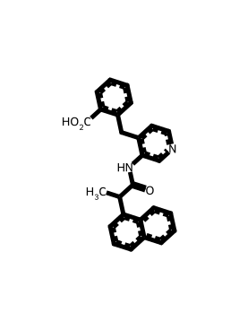 CC(C(=O)Nc1cnccc1Cc1ccccc1C(=O)O)c1cccc2ccccc12